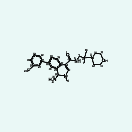 CN1C=C(C(=O)NCC(C)(C)N2CCOCC2)c2ccc(-c3cccc(F)c3)cc2C1N